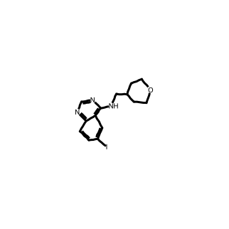 Ic1ccc2ncnc(NCC3CCOCC3)c2c1